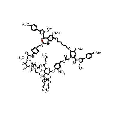 C=CCOC(=O)N[C@H](C(=O)N[C@@H](C)C(=O)Nc1ccc(COC(=O)Nc2cc(OCCCCCOc3cc(NC(=O)OCc4ccc(O[C@@H]5O[C@H](C(=O)OCC=C)[C@@H](OC(=O)OCC=C)[C@H](OC(=O)OCC=C)[C@H]5OC(=O)OCC=C)c([N+](=O)[O-])c4)c(C(=O)N4C=C(c5ccc(OC)cc5)C[C@H]4CO)cc3OC)c(OC)cc2C(=O)N2C=C(c3ccc(OC)cc3)C[C@H]2CO)cc1)C(C)C